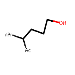 CCCC(CCCO)C(C)=O